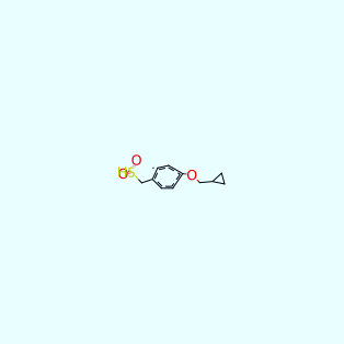 O=[SH](=O)Cc1[c]cc(OCC2CC2)cc1